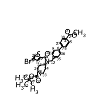 COC(=O)c1ccc(-c2ccc(CN(C(=O)c3cc(Br)cs3)C3CCN(C(=O)OC(C)(C)C)CC3)cc2)cc1